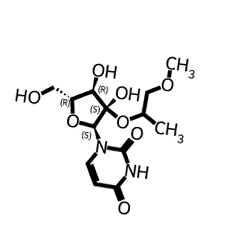 COCC(C)O[C@@]1(O)[C@H](O)[C@@H](CO)O[C@@H]1n1ccc(=O)[nH]c1=O